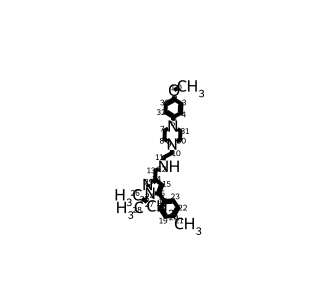 COc1ccc(N2CCN(CCNCc3cc(-c4ccc(C)cc4)n(C(C)(C)C)n3)CC2)cc1